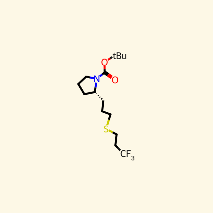 CC(C)(C)OC(=O)N1CCC[C@H]1CCCSCCC(F)(F)F